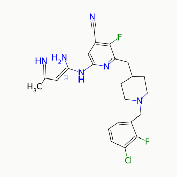 CC(=N)/C=C(\N)Nc1cc(C#N)c(F)c(CC2CCN(Cc3cccc(Cl)c3F)CC2)n1